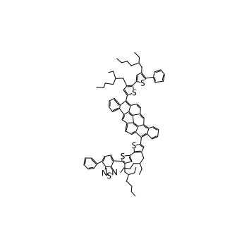 CCCCC(CC)Cc1cc(-c2sc(-c3c4ccccc4c4cc5ccc6c(-c7cc(CC(CC)CCCC)c(-c8cc(CC(CC)CCCC)c(-c9ccc(-c%10ccccc%10)c%10nsnc9%10)s8)s7)c7ccccc7c7cc8ccc3c4c8c5c67)cc2CC(CC)CCCC)sc1-c1ccccc1